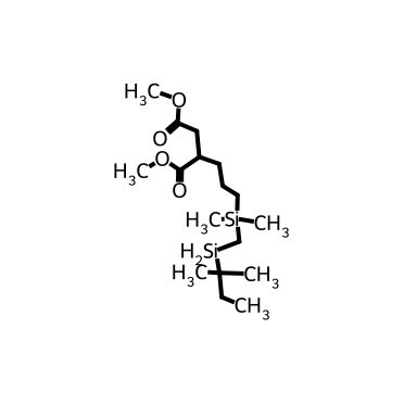 CCC(C)(C)[SiH2]C[Si](C)(C)CCCC(CC(=O)OC)C(=O)OC